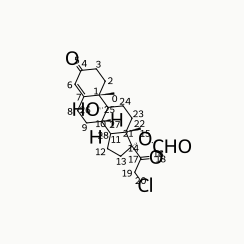 C[C@]12CCC(=O)C=C1CC[C@H]1[C@@H]3CC[C@](OC=O)(C(=O)CCl)[C@@]3(C)CC[C@@]12O